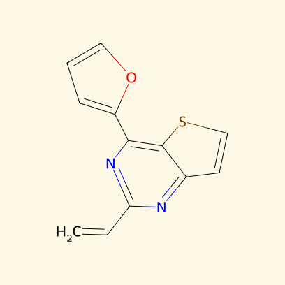 C=Cc1nc(-c2ccco2)c2sccc2n1